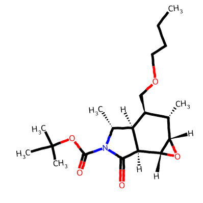 CCCCOC[C@H]1[C@H](C)[C@@H]2O[C@@H]2[C@H]2C(=O)N(C(=O)OC(C)(C)C)[C@H](C)[C@@H]12